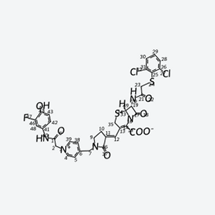 O=C(C[n+]1ccc(CN2CC/C(=C\C3=C(C(=O)[O-])N4C(=O)[C@@H](NC(=O)CSc5c(Cl)cccc5Cl)[C@H]4SC3)C2=O)cc1)Nc1ccc(O)c(F)c1